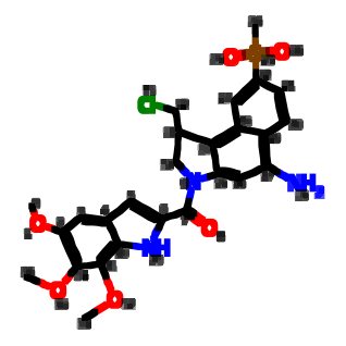 COc1cc2cc(C(=O)N3CC(CCl)c4c3cc(N)c3ccc(S(C)(=O)=O)cc43)[nH]c2c(OC)c1OC